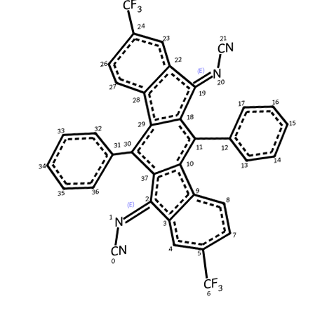 N#C/N=c1\c2cc(C(F)(F)F)ccc2c2c(-c3ccccc3)c3/c(=N/C#N)c4cc(C(F)(F)F)ccc4c3c(-c3ccccc3)c12